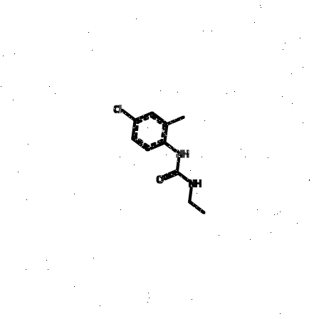 CCNC(=O)Nc1ccc(Cl)cc1C